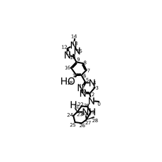 CN(c1cnc(-c2ccc(-c3ncn(C)n3)cc2O)nn1)[C@@H]1C[C@H]2CCC[C@@](C)(C1)N2